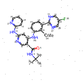 [2H]C([2H])([2H])NC(=O)c1cnc(Nc2ccccn2)cc1Nc1cccc(-c2ncc(F)cn2)c1OC